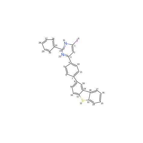 Ic1cc(-c2ccc(-c3ccc4sc5ccccc5c4c3)cc2)nc(-c2ccccc2)n1